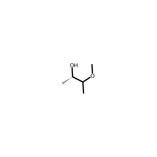 COC(C)[C@H](C)O